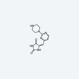 O=C1NC(=O)/C(=C\c2ccnc(N3CCNCC3)n2)N1